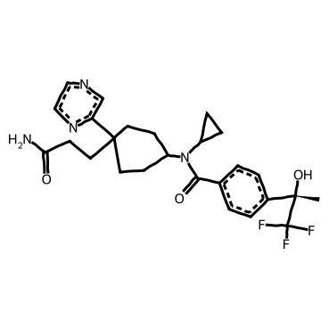 C[C@](O)(c1ccc(C(=O)N(C2CC2)C2CCC(CCC(N)=O)(c3cnccn3)CC2)cc1)C(F)(F)F